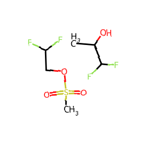 CC(O)C(F)F.CS(=O)(=O)OCC(F)F